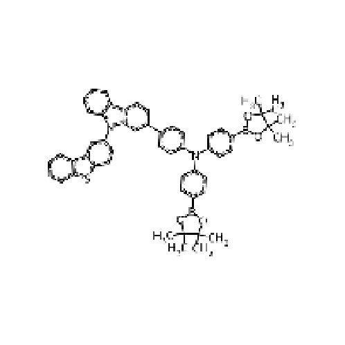 CC1(C)OB(c2ccc(N(c3ccc(B4OC(C)(C)C(C)(C)O4)cc3)c3ccc(-c4ccc5c6ccccc6n(-c6ccc7sc8ccccc8c7c6)c5c4)cc3)cc2)OC1(C)C